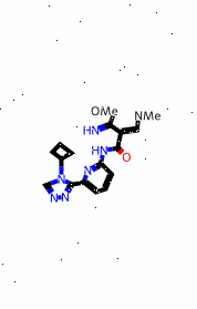 CN/C=C(\C(=N)OC)C(=O)Nc1cccc(-c2nncn2C2CCC2)n1